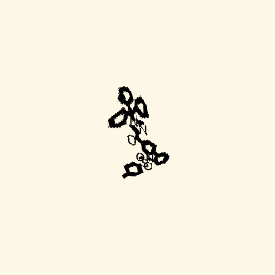 Cc1ccc(S(=O)(=O)n2c3ccccc3c3ccc(C(=O)c4cn(C(c5ccccc5)(c5ccccc5)c5ccccc5)cn4)cc32)cc1